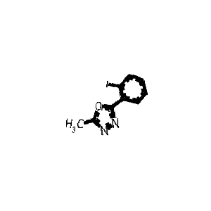 Cc1nnc(-c2ccccc2I)o1